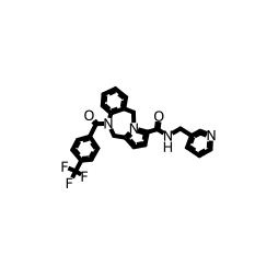 O=C(NCc1cccnc1)c1ccc2n1Cc1ccccc1N(C(=O)c1ccc(C(F)(F)F)cc1)C2